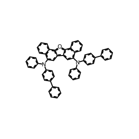 c1ccc(-c2ccc(N(c3ccccc3)c3cc4c5cc(N(c6ccccc6)c6ccc(-c7ccccc7)cc6)c6ccccc6c5oc4c4ccccc34)cc2)cc1